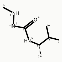 CNNC(=O)N[C@@H](C)C(C)C